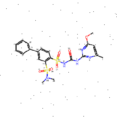 COc1cc(C)nc(NC(=O)NS(=O)(=O)c2ccc(-c3ccccc3)cc2S(=O)(=O)N(C)C)n1